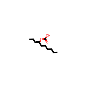 CCC=C(CCCCCC)OC(=O)O